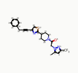 Cc1cc(C(F)(F)F)nn1CC(=O)N1CCC(c2nc(C#CCc3ccccc3)cs2)CC1